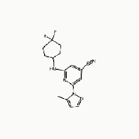 Cc1ccnn1-c1cc(C#N)cc(NC2CCC(F)(F)CC2)n1